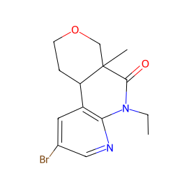 CCN1C(=O)C2(C)COCCC2c2cc(Br)cnc21